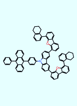 c1ccc(-c2c3ccccc3c(-c3ccc(-n4c5ccc(-c6cccc7c6oc6c(-c8cccc9c8CCCC9)cccc67)cc5c5cc(-c6cccc7c6oc6c(-c8cccc9c8CCCC9)cccc67)ccc54)cc3)c3ccccc23)cc1